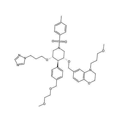 COCCCN1CCOc2ccc(CO[C@H]3CN(S(=O)(=O)c4ccc(C)cc4)C[C@@H](OCCCn4cncn4)[C@@H]3c3ccc(COCCOC)cc3)cc21